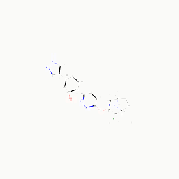 C[C@@]12CC[C@@](C)(N1)[C@@H](F)[C@@H](Oc1ccc(-c3ccc(-c4cn[nH]c4)cc3O)nn1)C2